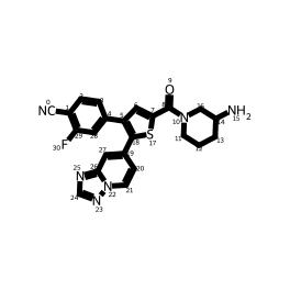 N#Cc1ccc(-c2cc(C(=O)N3CCCC(N)C3)sc2-c2ccn3ncnc3c2)cc1F